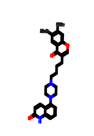 COc1cc2occ(CCCCN3CCN(c4cccc5[nH]c(=O)ccc45)CC3)c(=O)c2cc1OC